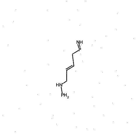 N=PCC=CCNP